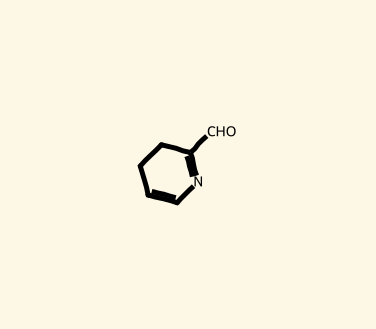 O=CC1=NC=CCC1